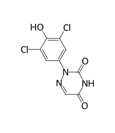 O=c1cnn(-c2cc(Cl)c(O)c(Cl)c2)c(=O)[nH]1